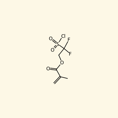 C=C(C)C(=O)OCC(F)(F)S(=O)(=O)Cl